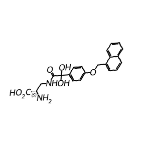 N[C@@H](CNC(=O)C(O)(O)c1ccc(OCc2cccc3ccccc23)cc1)C(=O)O